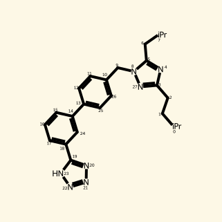 CC(C)CCc1nc(CC(C)C)n(Cc2ccc(-c3cccc(-c4nnn[nH]4)c3)cc2)n1